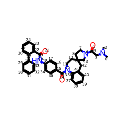 CN(C)CC(=O)N1CCC2(CCN(C(=O)c3ccc(NC(=O)c4ccccc4-c4ccccc4)cc3)c3ccccc3C2)C1